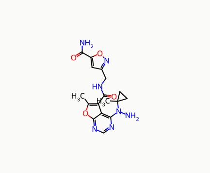 Cc1oc2ncnc(N(N)C3(C)CC3)c2c1C(=O)NCc1cc(C(N)=O)on1